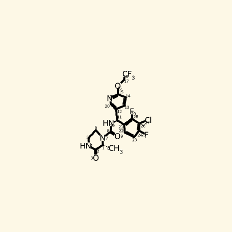 C[C@@H]1C(=O)NCCN1C(=O)N[C@@H](c1ccc(OCC(F)(F)F)nc1)c1ccc(F)c(Cl)c1F